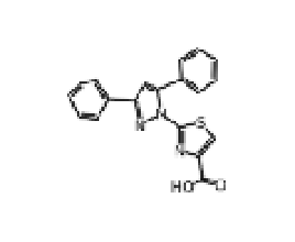 O=C(O)c1csc(-n2nc(-c3ccccc3)cc2-c2ccccc2)n1